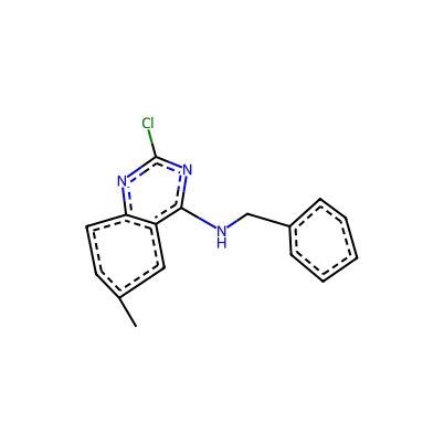 Cc1ccc2nc(Cl)nc(NCc3ccccc3)c2c1